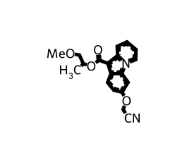 COCC(C)OC(=O)c1c2ccc(OCC#N)cc2n2ccccc12